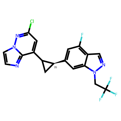 Fc1cc([C@H]2CC2c2cc(Cl)nn3ccnc23)cc2c1cnn2CC(F)(F)F